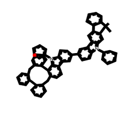 CC1(C)c2ccccc2-c2cc3c4cc(-c5ccc6c(c5)c5ccc7c(c5n6-c5ccccc5)-c5ccccc5Cc5ccccc5-c5ccccc5C7)ccc4n(-c4ccccc4)c3cc21